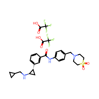 O=C(Nc1ccc(CN2CCS(=O)(=O)CC2)cc1)c1cccc([C@@H]2C[C@H]2NCC2CC2)c1.O=C(O)C(F)(F)F.O=C(O)C(F)(F)F